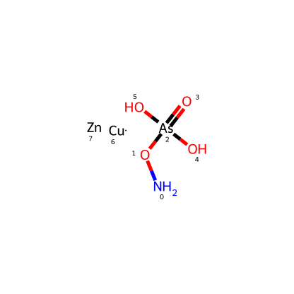 NO[As](=O)(O)O.[Cu].[Zn]